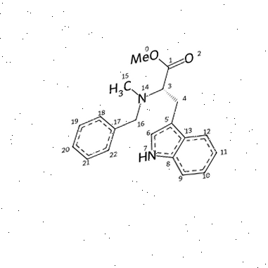 COC(=O)[C@H](Cc1c[nH]c2ccccc12)N(C)Cc1ccccc1